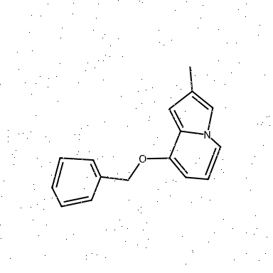 Cc1cc2c(OCc3ccccc3)cccn2c1